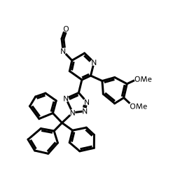 COc1ccc(-c2ncc(N=C=O)cc2-c2nnn(C(c3ccccc3)(c3ccccc3)c3ccccc3)n2)cc1OC